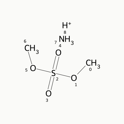 COS(=O)(=O)OC.N.[H+]